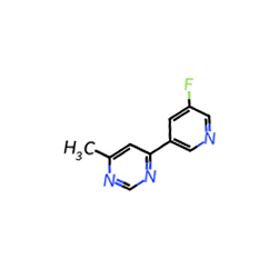 Cc1cc(-c2cncc(F)c2)ncn1